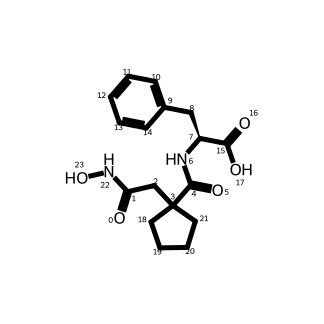 O=C(CC1(C(=O)N[C@@H](Cc2ccccc2)C(=O)O)CCCC1)NO